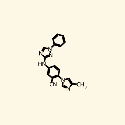 Cc1cn(-c2ccc(Nc3ncn(-c4ccccc4)n3)cc2C#N)cn1